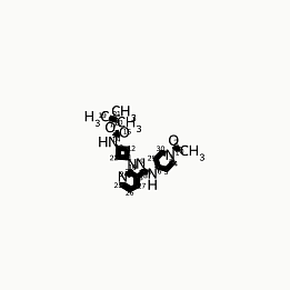 CC(=O)N1CCC(Nc2nn([C@H]3C[C@H](NC(=O)OC(C)(C)C)C3)c3ncccc23)CC1